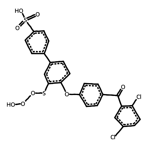 O=C(c1ccc(Oc2ccc(-c3ccc(S(=O)(=O)O)cc3)cc2SOOO)cc1)c1cc(Cl)ccc1Cl